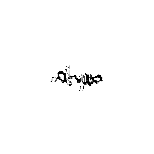 O=C1C=CC2=C(C1)SC(CCNC(=O)c1cc3ccccc3[nH]1)N2